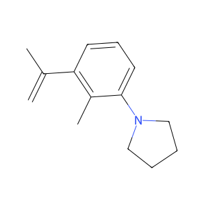 C=C(C)c1cccc(N2CCCC2)c1C